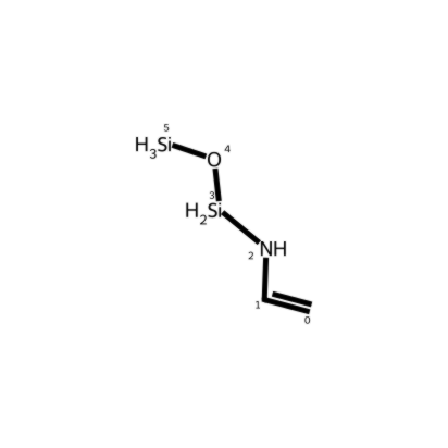 C=CN[SiH2]O[SiH3]